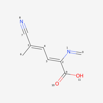 C=N/C(=C\C=C(/C)C#N)C(=O)O